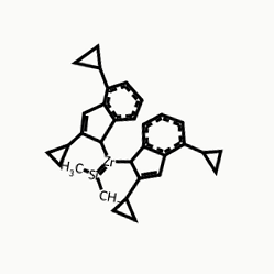 C[Si](C)=[Zr]([CH]1C(C2CC2)=Cc2c(C3CC3)cccc21)[CH]1C(C2CC2)=Cc2c(C3CC3)cccc21